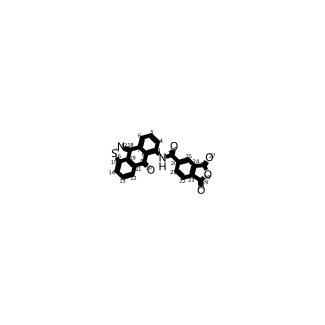 O=C(Nc1cccc2c1C(=O)c1cccc3snc-2c13)c1ccc2c(c1)C(=O)OC2=O